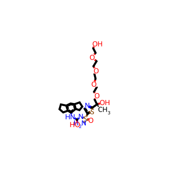 C[C@](O)(COCCOCCOCCOCCO)c1ncc(S(N)(=O)=NC(O)Nc2c3c(cc4c2CCC4)CCC3)s1